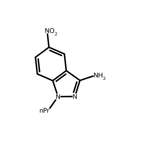 CCCn1nc(N)c2cc([N+](=O)[O-])ccc21